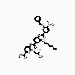 CCCCCCOc1nc(C(=O)Nc2ccc(C(=O)OC)nc2OCC(=O)O)ccc1NC(=O)c1ccc([N+](=O)[O-])c(OCc2ccccc2)n1